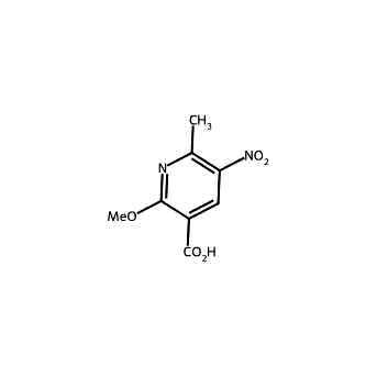 COc1nc(C)c([N+](=O)[O-])cc1C(=O)O